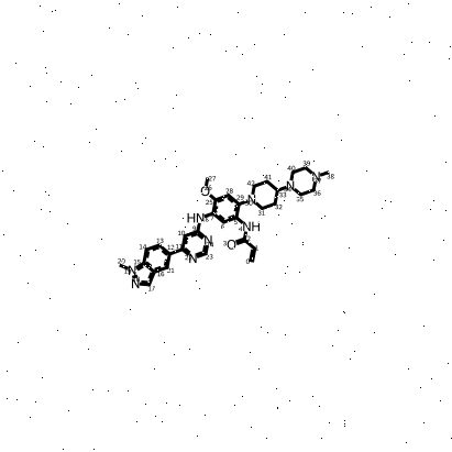 C=CC(=O)Nc1cc(Nc2cc(-c3ccc4c(cnn4C)c3)ncn2)c(OC)cc1N1CCC(N2CCN(C)CC2)CC1